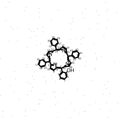 Oc1ccccc1C1=C2C=CC(=N2)C(c2ccccc2)=C2C=CC(=N2)C(c2ccccc2)=C2C=CC(=N2)C(c2ccccc2)=C2C=CC1=N2